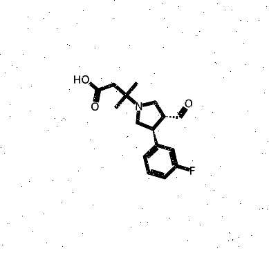 CC(C)(CC(=O)O)N1C[C@H](c2cccc(F)c2)[C@@H](C=O)C1